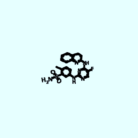 Cc1ccc(Nc2ncc(F)c(Nc3ccc4ccccc4n3)n2)cc1S(N)(=O)=O